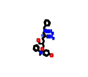 CN(c1ccccc1)C1(OCC(C=O)CC/C(N)=C/N(N)Cc2ccccc2)C=CC(=O)C=C1